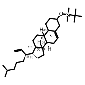 C=C[C@H](CCCC(C)C)[C@H]1CC[C@H]2[C@@H]3CC=C4CC(O[Si](C)(C)C(C)(C)C)CC[C@]4(C)[C@H]3CC[C@]12C